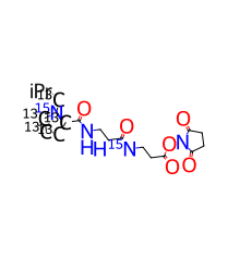 [13CH3]C([13CH3])[13CH2][15N]1[13CH2][13CH2][13CH2][13CH]1C(=O)NCCC(=O)[15NH]CCC(=O)ON1C(=O)CCC1=O